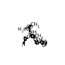 CCOP(=O)(CCNCc1cc(C)c(OCc2cccc(-c3ccc4c(c3)OCCO4)c2C)cc1OCc1cccc(C#N)c1)OCC